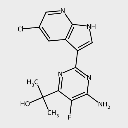 CC(C)(O)c1nc(-c2c[nH]c3ncc(Cl)cc23)nc(N)c1F